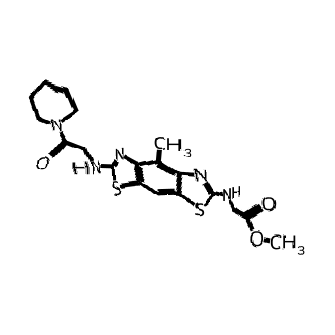 COC(=O)CNc1nc2c(C)c3nc(NCC(=O)N4CCCCC4)sc3cc2s1